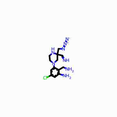 [N-]=[N+]=NCC1(C=N)CN(c2cc(Cl)cc(N)c2CN)CCN1